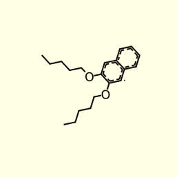 CCCCCOc1[c]c2ccccc2cc1OCCCCC